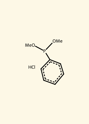 COP(OC)c1ccccc1.Cl